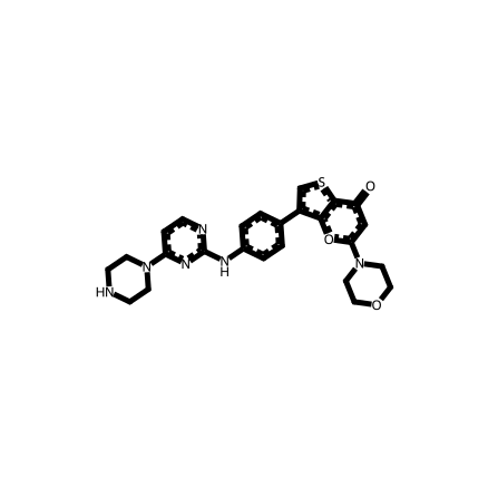 O=c1cc(N2CCOCC2)oc2c(-c3ccc(Nc4nccc(N5CCNCC5)n4)cc3)csc12